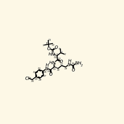 CC(C)[C@H](NC(=O)OC(C)(C)C)C(=O)N[C@@H](CCCNC(N)=O)C(=O)Nc1ccc(CCl)cc1